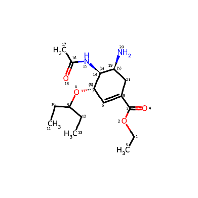 CCOC(=O)C1=C[C@H](OC(CC)CC)[C@@H](NC(C)=O)[C@@H](N)C1